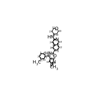 Cc1cccc([C@H](NC(=O)c2ccc3cnc(NC4CCOCC4)cc3c2)c2cnn(C)c2)c1